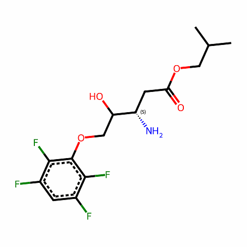 CC(C)COC(=O)C[C@H](N)C(O)COc1c(F)c(F)cc(F)c1F